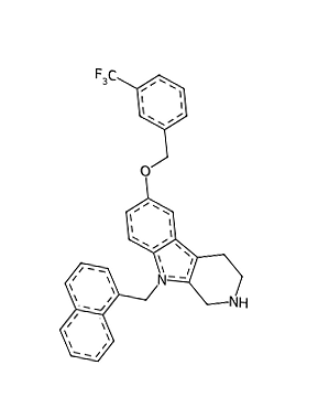 FC(F)(F)c1cccc(COc2ccc3c(c2)c2c(n3Cc3cccc4ccccc34)CNCC2)c1